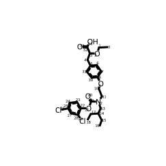 CCOC(Cc1ccc(OCCN(CC(CC)CC)C(=O)Oc2ccc(Cl)cc2Cl)cc1)C(=O)O